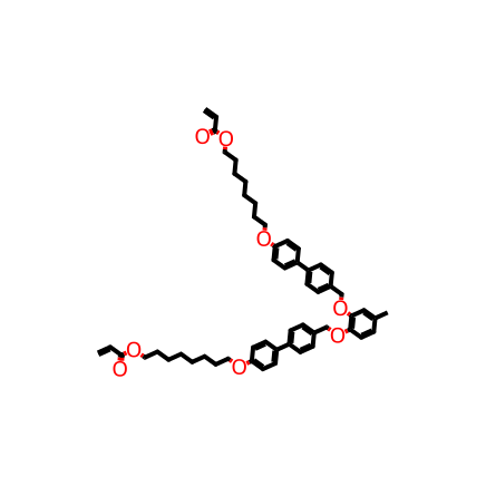 C=CC(=O)OCCCCCCCCOc1ccc(-c2ccc(COc3ccc(C)cc3OCc3ccc(-c4ccc(OCCCCCCCCOC(=O)C=C)cc4)cc3)cc2)cc1